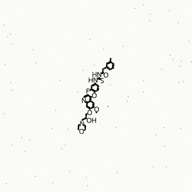 COc1cc2c(Oc3ccc(NC(=S)NC(=O)Cc4cccc(C)c4)cc3F)ccnc2cc1OCC(O)CN1CCOCC1